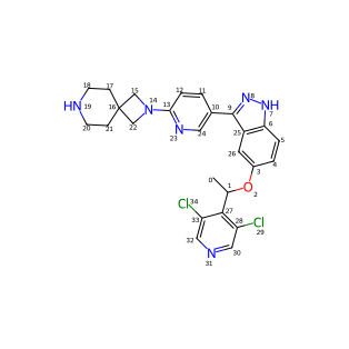 CC(Oc1ccc2[nH]nc(-c3ccc(N4CC5(CCNCC5)C4)nc3)c2c1)c1c(Cl)cncc1Cl